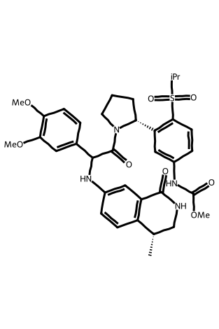 COC(=O)Nc1ccc(S(=O)(=O)C(C)C)c([C@H]2CCCN2C(=O)C(Nc2ccc3c(c2)C(=O)NC[C@@H]3C)c2ccc(OC)c(OC)c2)c1